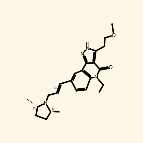 CCn1c(=O)c2c(CCOC)[nH]nc2c2cc(/C=C/CN3[C@@H](C)CC[C@@H]3C)ccc21